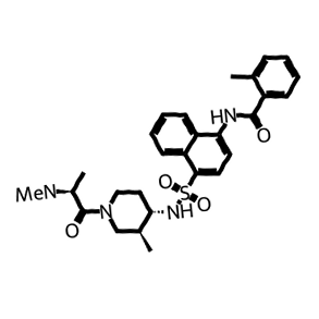 CN[C@@H](C)C(=O)N1CC[C@H](NS(=O)(=O)c2ccc(NC(=O)c3ccccc3C)c3ccccc23)[C@@H](C)C1